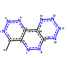 Cc1nnnc2c1nnc1nnnnc12